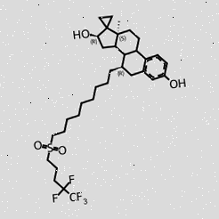 C[C@]12CCC3c4ccc(O)cc4C[C@@H](CCCCCCCCCS(=O)(=O)CCCC(F)(F)C(F)(F)F)C3C1C[C@@H](O)C21CC1